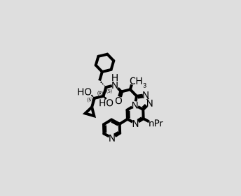 CCCc1nc(-c2cccnc2)cn2c(C(C)C(=O)N[C@@H](CC3CCCCC3)[C@@H](O)[C@@H](O)C3CC3)nnc12